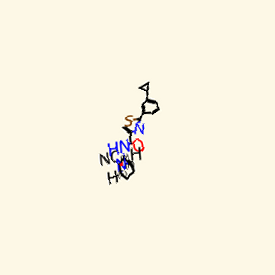 N#CN1[C@H]2CC[C@@H]1[C@H](NC(=O)c1csc(-c3cccc(C4CC4)c3)n1)C2